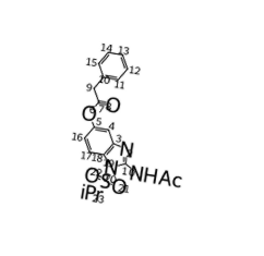 CC(=O)Nc1nc2cc(OC(=O)Cc3ccccc3)ccc2n1S(=O)(=O)C(C)C